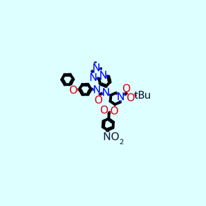 CN(C)/C=N\c1nccc2c1n(-c1ccc(Oc3ccccc3)cc1)c(=O)n2[C@@H]1C[C@@H](OC(=O)c2ccc([N+](=O)[O-])cc2)CN(C(=O)OC(C)(C)C)C1